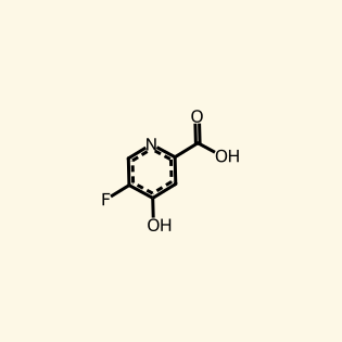 O=C(O)c1cc(O)c(F)cn1